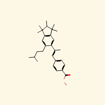 COC(=O)c1ccc(C=C(C)c2cc3c(cc2CCC(C)C)C(C)(C)C(C)C3(C)C)cc1